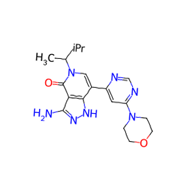 CC(C)C(C)n1cc(-c2cc(N3CCOCC3)ncn2)c2[nH]nc(N)c2c1=O